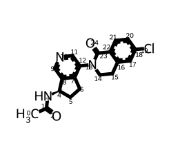 CC(=O)N[C@@H]1CCc2c1cncc2N1CCc2cc(Cl)ccc2C1=O